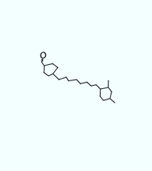 CC1CCC(CCCCCCCCC2CCC(C=O)CC2)C(C)C1